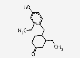 CCc1cc(O)ccc1CC1CCC(=O)CC1CC